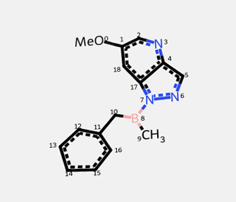 COc1cnc2cnn(B(C)Cc3ccccc3)c2c1